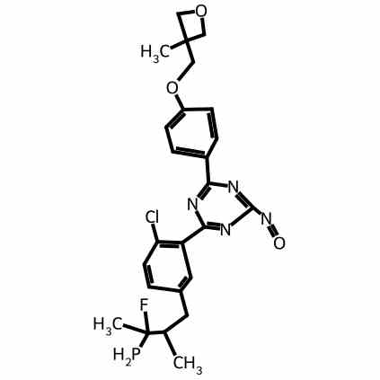 CC(Cc1ccc(Cl)c(-c2nc(N=O)nc(-c3ccc(OCC4(C)COC4)cc3)n2)c1)C(C)(F)P